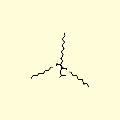 CCCCCCCCCCC(C(=O)OCCCCCCCC)=C(CC(C)C)C(=O)OCCCCCCCC